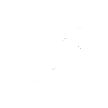 Cc1ccc2nc(Cl)ncc2n1